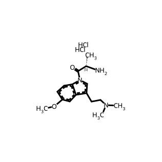 COc1ccc2c(c1)c(CCN(C)C)cn2C(=O)[C@H](C)N.Cl.Cl